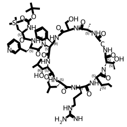 CC[C@H](C)[C@@H]1NC(=O)[C@@H](CCCNC(=N)N)NC(=O)[C@H](CC(C)C)NC(=O)[C@H]([C@H](O)C(C)C)NC(=O)[C@@H](NC(=O)[C@H](Cc2cccnc2)NC(=O)[C@@H](C[Si](C)(C)C)NC(=O)OC(C)(C)C)[C@@H](c2ccccc2)NC(=O)C(CO)NC(=O)[C@H](C)NC(=O)CNC(=O)[C@H]([C@H](C)O)NC1=O